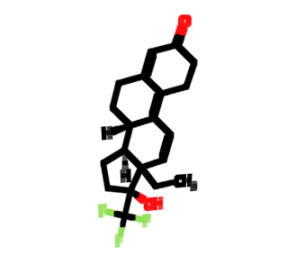 CCC12C=CC3=C4CCC(=O)C=C4CC[C@H]3[C@@H]1CC[C@@]2(O)C(F)(F)F